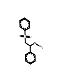 NOC(CS(=O)(=O)c1ccccc1)c1ccccc1